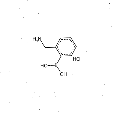 Cl.NCc1ccccc1B(O)O